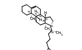 C[C@H](CCCC1CC1)[C@H]1CC[C@H]2[C@@H]3CC=C4CCCC[C@]4(C)[C@H]3CC[C@]12C